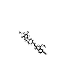 CN(C)c1cc(C#N)ccc1NCCCN1CCCN(c2cc(=O)n(C)c(=O)n2C)CC1